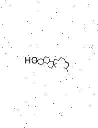 CC(C)[C@@H](C)/C=C/[C@@H](C)CCCC1C2CCC3C[C@@H](O)CC[C@]3(C)C2CCC1(C)C